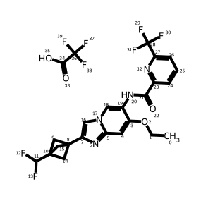 CCOc1cc2nc(C34CC(C(F)F)(C3)C4)cn2cc1NC(=O)c1cccc(C(F)(F)F)n1.O=C(O)C(F)(F)F